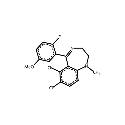 COc1ccc(F)c(C2=NCCN(C)c3ccc(Cl)c(Cl)c32)c1